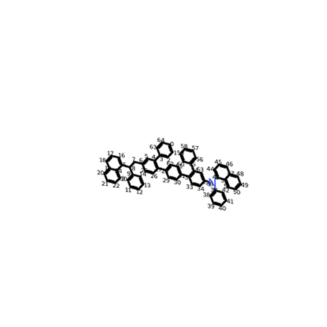 c1ccc(-c2cc(CC(c3ccccc3)c3cccc4ccccc34)ccc2-c2ccc(-c3ccc(N(c4ccccc4)c4cccc5ccccc45)cc3-c3ccccc3)cc2)cc1